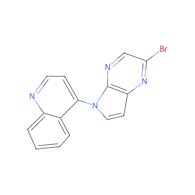 Brc1cnc2c(ccn2-c2ccnc3ccccc23)n1